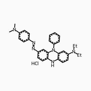 CCN(CC)c1ccc2c(c1)N(c1ccccc1)c1cc(N=Nc3ccc(N(C)C)cc3)ccc1N2.Cl